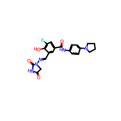 O=C1CN(/N=C/c2cc(C(=O)Nc3ccc(N4CCCC4)cc3)cc(F)c2O)C(=O)N1